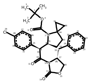 CC(C)(C)OC(=O)N1[C@H]([C@@H](C(=O)N2C(=O)OC[C@H]2Cc2ccccc2)c2ccc(Cl)cc2)CCC12CC2